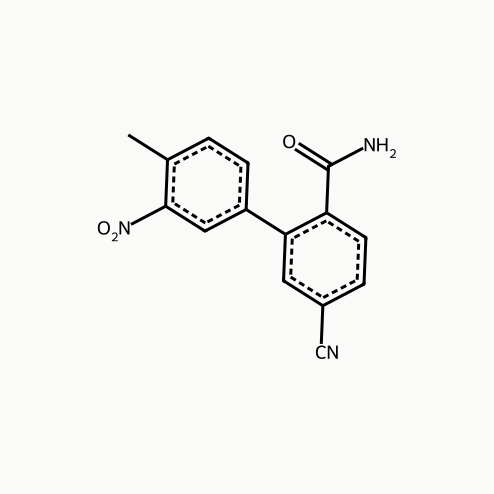 Cc1ccc(-c2cc(C#N)ccc2C(N)=O)cc1[N+](=O)[O-]